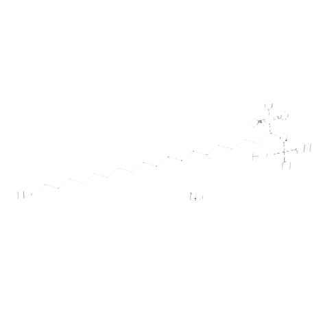 CCCCCCCCCCCCCCCCCCCC(OC(C)(C)C)S(=O)(=O)[O-].[Na+]